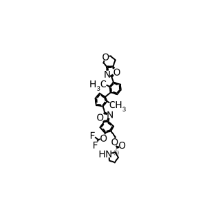 Cc1c(-c2nc3c(o2)CCOC3)cccc1-c1cccc(-c2nc3cc(COC(=O)[C@@H]4CCCN4)c(OC(F)F)cc3o2)c1C